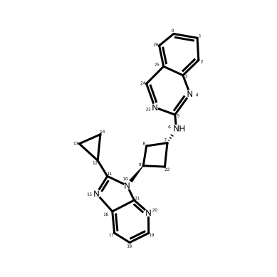 c1ccc2nc(N[C@H]3C[C@H](n4c(C5CC5)nc5cccnc54)C3)ncc2c1